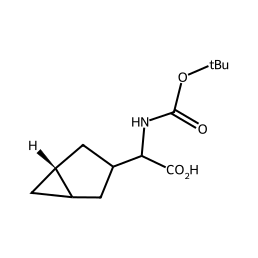 CC(C)(C)OC(=O)NC(C(=O)O)C1CC2C[C@@H]2C1